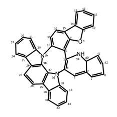 C1=CC2=Cc3c(c4c5oc6ccccc6c5ccc4n4c5ccccc5c5ccc6c7ccccc7n3c6c54)NC2C=C1